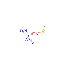 C[S+](C)[O-].NC(N)=O